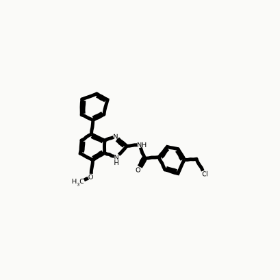 COc1ccc(-c2ccccc2)c2nc(NC(=O)c3ccc(CCl)cc3)[nH]c12